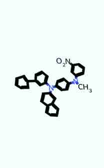 CN(c1ccc(N(c2cccc(-c3ccccc3)c2)c2ccc3ccccc3c2)cc1)c1cccc([N+](=O)[O-])c1